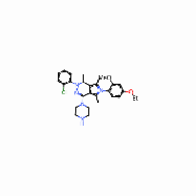 CCOc1ccc(-n2c(C)c3c(c2C)C(C)N(c2ccccc2Cl)N=C3N2CCNCC2)c(OC)c1